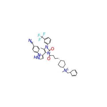 Cc1c(C2=CCNN2c2ccc(C#N)cc2)n(C(=O)CCC[C@H]2CC[C@@H]([N+](C)(C)CC3C=CC=CC3)CC2)c(=O)n1-c1cccc(C(F)(F)F)c1